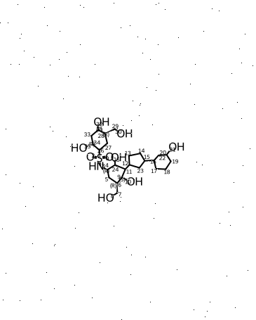 O=S(=O)(N[C@@H]1C[C@H](CO)[C@H](O)C(C2CCC(C3CCCC(O)C3)C2)C1O)C1C[C@H](CO)[C@H](O)C[C@H]1O